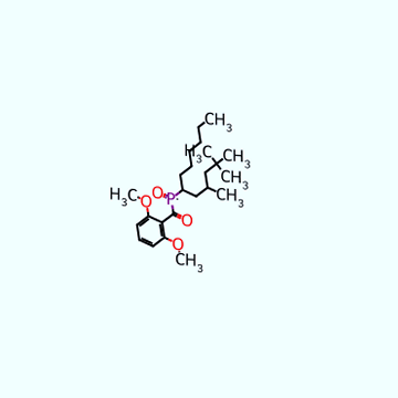 CCCCCCC(CC(C)CC(C)(C)C)[P](=O)C(=O)c1c(OC)cccc1OC